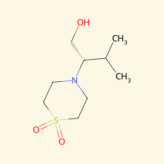 CC(C)[C@@H](CO)N1CCS(=O)(=O)CC1